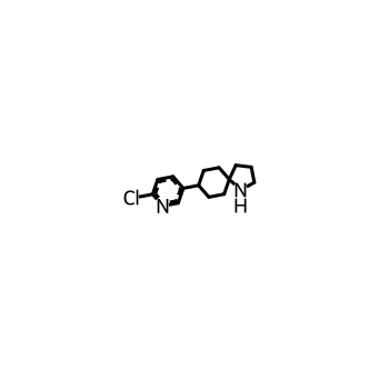 Clc1ccc(C2CCC3(CCCN3)CC2)cn1